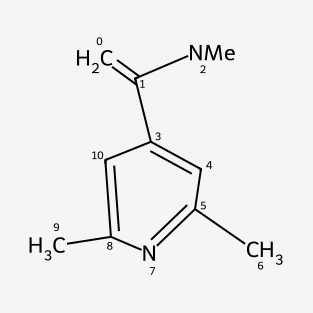 C=C(NC)c1cc(C)nc(C)c1